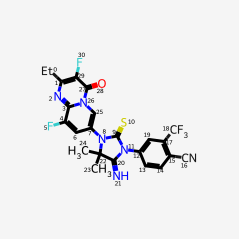 CCc1nc2c(F)cc(N3C(=S)N(c4ccc(C#N)c(C(F)(F)F)c4)C(=N)C3(C)C)cn2c(=O)c1F